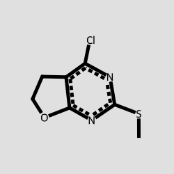 CSc1nc(Cl)c2c(n1)OCC2